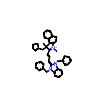 C[N+]1=C(/C=C/C=C2N(Cc3ccccc3)c3ccccc3N2Cc2ccccc2)C(C)(CC2=CC=CC2)c2c1ccc1ccccc21